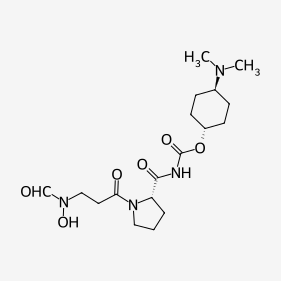 CN(C)[C@H]1CC[C@H](OC(=O)NC(=O)[C@@H]2CCCN2C(=O)CCN(O)C=O)CC1